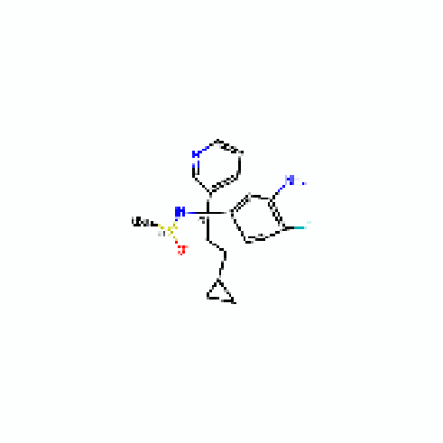 CC(C)(C)[S@+]([O-])N[C@](CCC1CC1)(c1cccnc1)c1ccc(F)c(N)c1